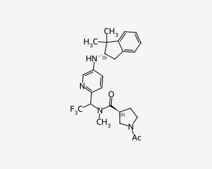 CC(=O)N1CC[C@H](C(=O)N(C)C(c2ccc(N[C@H]3Cc4ccccc4C3(C)C)cn2)C(F)(F)F)C1